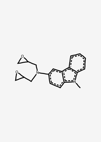 Cn1c2ccccc2c2cc(N(CC3CO3)CC3CO3)ccc21